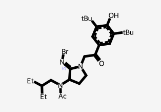 CCC(CC)CN(C(C)=O)C1CCN(CC(=O)c2cc(C(C)(C)C)c(O)c(C(C)(C)C)c2)/C1=N\Br